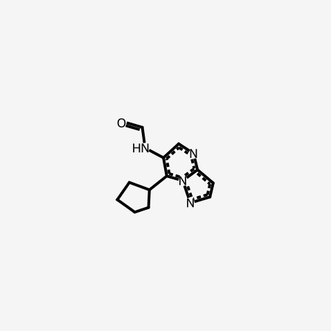 O=CNc1cnc2ccnn2c1C1CCCC1